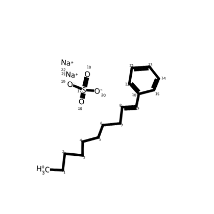 CCCCCCCCC=Cc1ccccc1.O=S(=O)([O-])[O-].[Na+].[Na+]